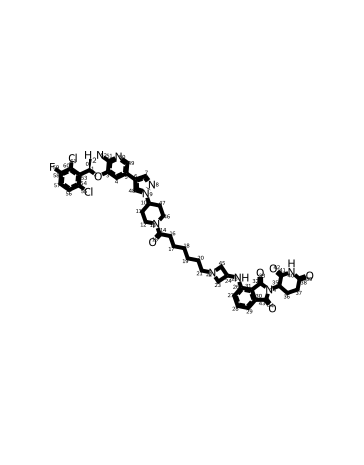 C[C@@H](Oc1cc(-c2cnn(C3CCN(C(=O)CCCCCCN4CC(Nc5cccc6c5C(=O)N(C5CCC(=O)NC5=O)C6=O)C4)CC3)c2)cnc1N)c1c(Cl)ccc(F)c1Cl